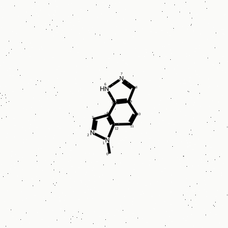 Cn1ncc2c3[nH]ncc3ccc21